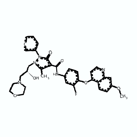 COc1ccc2c(Oc3ccc(NC(=O)c4c(C)n(C[C@H](O)CN5CCOCC5)n(-c5ccccc5)c4=O)cc3F)ccnc2c1